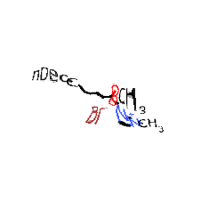 CCCCCCCCCCCCCCCC(=O)OC(C)[n+]1ccn(C)c1.[Br-]